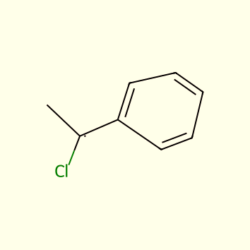 C[C](Cl)c1ccccc1